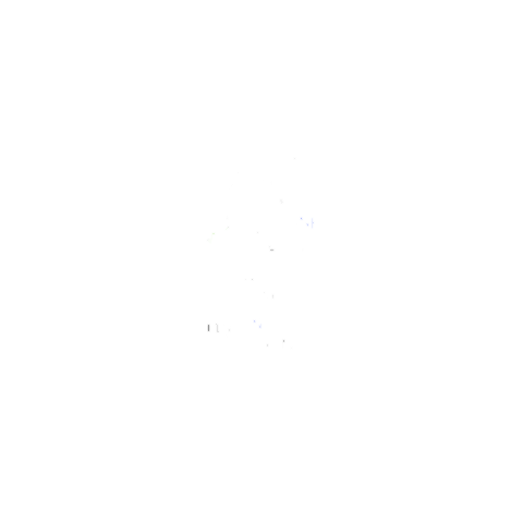 CN(C)CCc1c[nH]c2c(F)ccc(F)c12